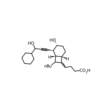 CCCCC1/C(=C/CCC(=O)O)[C@H]2CC[C@@H](O)[C@H](C#CC(O)C3CCCCC3)[C@@H]12